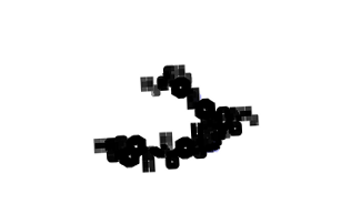 CCOP(=O)(/C=C\SCC(NC(=O)c1ccc(/N=N/c2ccc(N(C)C)cc2)cc1)C(=O)CN)Nc1ccc(C(=O)NCCNc2cccc3c(S(=O)(=O)O)cccc23)cc1